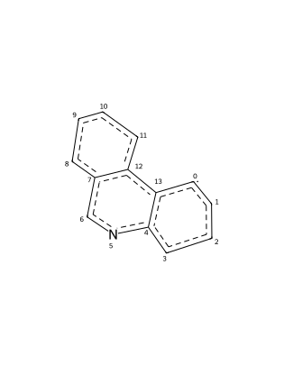 [c]1cccc2ncc3ccccc3c12